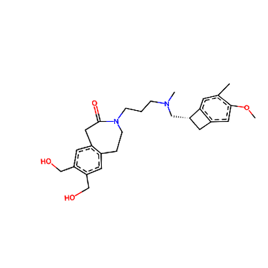 COc1cc2c(cc1C)[C@@H](CN(C)CCCN1CCc3cc(CO)c(CO)cc3CC1=O)C2